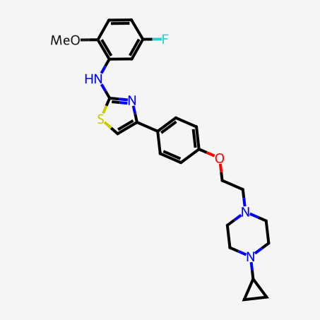 COc1ccc(F)cc1Nc1nc(-c2ccc(OCCN3CCN(C4CC4)CC3)cc2)cs1